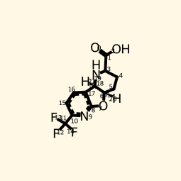 O=C(O)C1CC[C@@H]2Oc3nc(C(F)(F)F)ccc3[C@@H]2N1